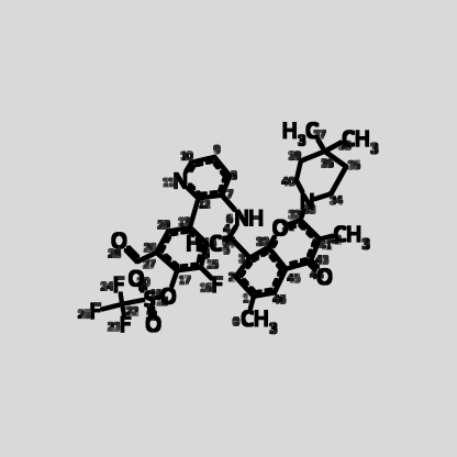 Cc1cc([C@@H](C)Nc2cccnc2-c2cc(F)c(OS(=O)(=O)C(F)(F)F)c(C=O)c2)c2oc(N3CCC(C)(C)CC3)c(C)c(=O)c2c1